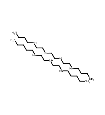 NCCCCNCCNCCNCCCCN.NCCCNCCNCCNCCNCCCN